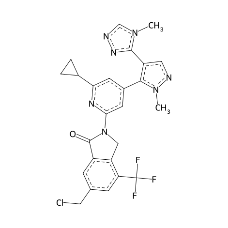 Cn1cnnc1-c1cnn(C)c1-c1cc(C2CC2)nc(N2Cc3c(cc(CCl)cc3C(F)(F)F)C2=O)c1